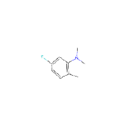 Cc1ccc(F)cc1N(C)C